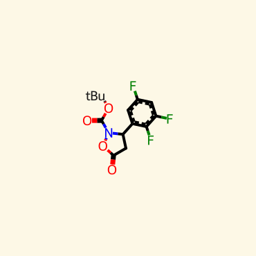 CC(C)(C)OC(=O)N1OC(=O)CC1c1cc(F)cc(F)c1F